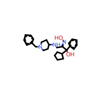 ON=C(CNC1CCN(Cc2ccccc2)CC1)C(O)(c1ccccc1)C1CCCC1